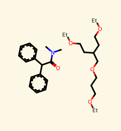 CCOCCCOCC(CCOCC)CCOCC.CN(C)C(=O)C(c1ccccc1)c1ccccc1